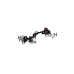 CC(C)(C)[Si](C)(C)O[C@H](CNCCc1ccc(OCCCCc2ccc(N(C(=O)O)[C@H]3CN4CCC3CC4)c(-c3ccccc3)c2)cc1)c1ccc(O)c2[nH]c(=O)ccc12